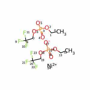 CCOP(=O)([O-])OCC(F)(F)F.CCOP(=O)([O-])OCC(F)(F)F.[Ni+2]